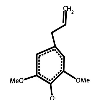 C=CCc1cc(OC)c([O])c(OC)c1